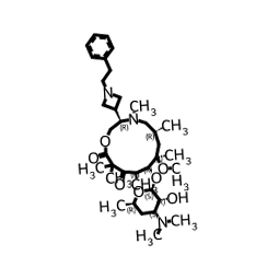 CO[C@]1(C)C[C@@H](C)CN(C)[C@H](C2CN(CCc3ccccc3)C2)COC(=O)C(C)(C)C(=O)[C@H](C)[C@H]1O[C@@H]1O[C@H](C)C[C@H](N(C)C)[C@H]1O